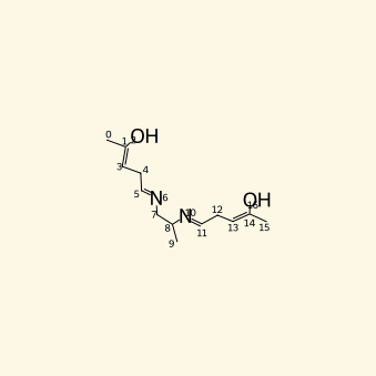 CC(O)=CCC=NCC(C)N=CCC=C(C)O